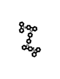 CC1(n2c3c(c4ccccc42)CCC=C3)C=Cc2c(n(-c3ccc(-c4ccc(-n5c6ccccc6c6ccc(N7c8ccccc8C8C=CC=CC87)cc65)cc4)cc3)c3ccccc23)C1